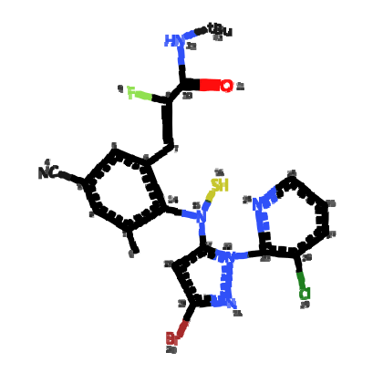 Cc1cc(C#N)cc(/C=C(\F)C(=O)NC(C)(C)C)c1N(S)c1cc(Br)nn1-c1ncccc1Cl